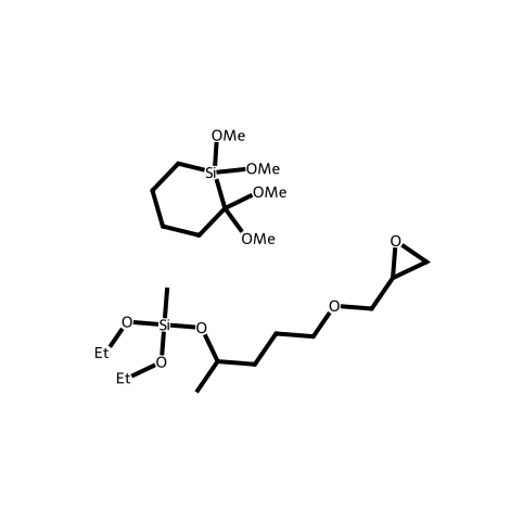 CCO[Si](C)(OCC)OC(C)CCCOCC1CO1.COC1(OC)CCCC[Si]1(OC)OC